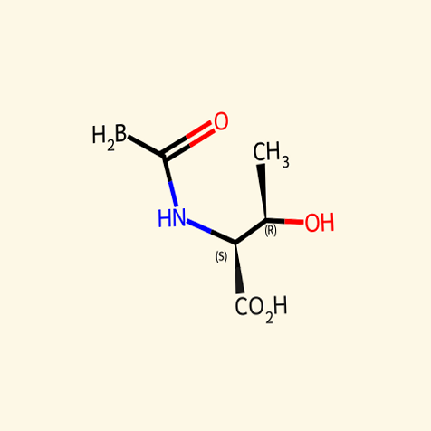 BC(=O)N[C@H](C(=O)O)[C@@H](C)O